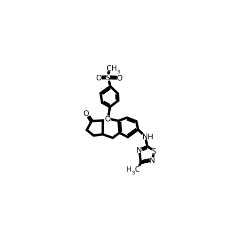 Cc1nsc(Nc2ccc(Oc3ccc(S(C)(=O)=O)cc3)c(CC3CCC(=O)C3)c2)n1